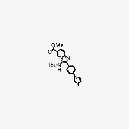 COC(=O)c1ccc2nc(-c3ccc(-n4ccnc4)cc3)c(NC(C)(C)C)n2c1